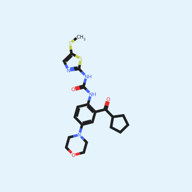 CSc1cnc(NC(=O)Nc2ccc(N3CCOCC3)cc2C(=O)C2CCCC2)s1